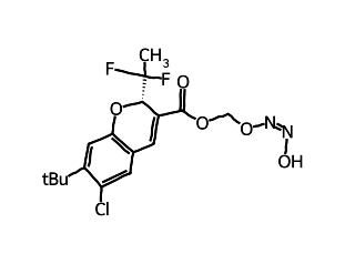 CC(C)(C)c1cc2c(cc1Cl)C=C(C(=O)OCO/N=N\O)[C@@H](C(C)(F)F)O2